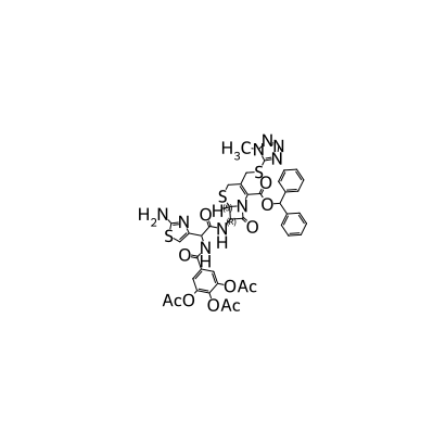 CC(=O)Oc1cc(C(=O)NC(C(=O)N[C@@H]2C(=O)N3C(C(=O)OC(c4ccccc4)c4ccccc4)=C(CSc4nnnn4C)CS[C@@H]23)c2csc(N)n2)cc(OC(C)=O)c1OC(C)=O